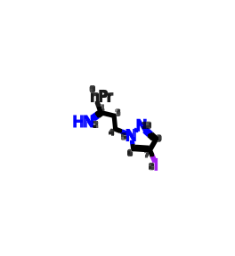 CCCC(=N)CCn1cc(I)cn1